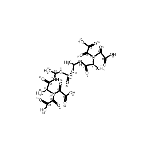 CC(NC(=O)[C@H](C)N(C(=O)C(=O)O)C(=O)C(=O)O)O[PH](=O)OC(C)NC(=O)[C@H](C)N(C(=O)C(=O)O)C(=O)C(=O)O